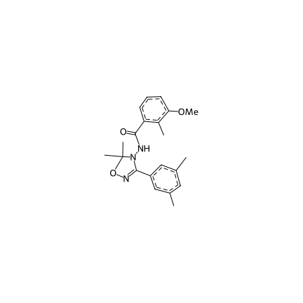 COc1cccc(C(=O)NN2C(c3cc(C)cc(C)c3)=NOC2(C)C)c1C